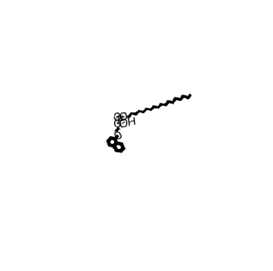 CCCCCCCCCCCCCCCCCCOP(=O)(O)OCCOc1cccc2ccccc12